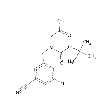 CC(C)(C)OC(=O)N(CC(=O)O)Cc1cc(I)cc(C#N)c1